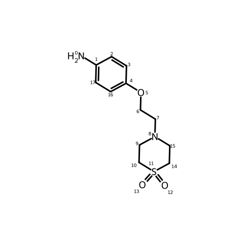 Nc1ccc(OCCN2CCS(=O)(=O)CC2)cc1